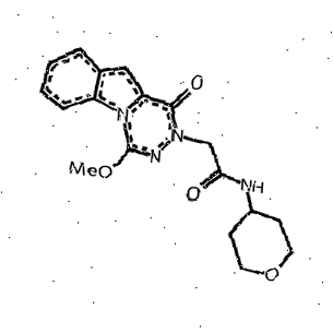 COc1nn(CC(=O)NC2CCOCC2)c(=O)c2cc3ccccc3n12